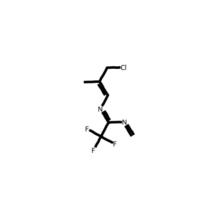 C=N/C(=N\C=C(/C)CCl)C(F)(F)F